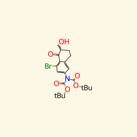 CC(C)(C)OC(=O)N(C(=O)OC(C)(C)C)c1cc(Br)c2c(c1)CC/C(=C\O)C2=O